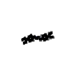 CCN(CC)c1ccc(/C=N/N=C/c2ccc(N(CC)CC)cc2)cc1